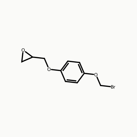 BrCOc1ccc(OCC2CO2)cc1